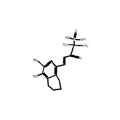 CC(C)(C)c1cc(C=CC(=O)C(C)(C)P(=O)(O)O)c2c(c1O)CCCC2